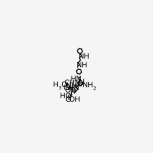 CC(C)(C)NC(=O)[C@@H]1CN(c2cc(N)nc(NC[C@H]3CC[C@H](CNCCCNC4CCCCC4)CC3)n2)CCN1CCP(=O)(O)O